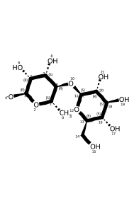 C[C@@H]1O[C@@H]([O])[C@H](O)[C@H](O)[C@H]1O[C@@H]1O[C@H](CO)[C@@H](O)[C@H](O)[C@H]1O